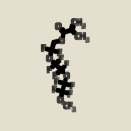 C=C(C)C(=O)OCC(F)(F)OC(F)(F)C(F)(F)OC(F)(F)C(F)(F)OC(F)(F)F